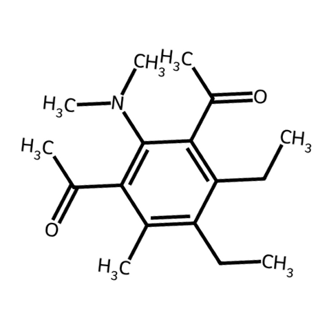 CCc1c(C)c(C(C)=O)c(N(C)C)c(C(C)=O)c1CC